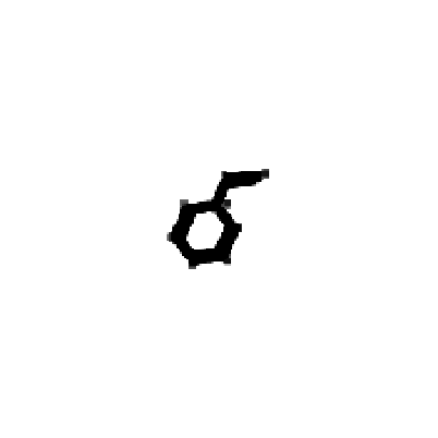 O=CN1C=C=CC=C1